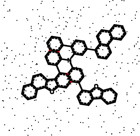 c1ccc(-c2ccc(-c3cccc4c3ccc3ccccc34)cc2N(c2ccc(-c3cccc4c3oc3ccccc34)cc2)c2ccccc2-c2cccc3oc4c5ccccc5ccc4c23)cc1